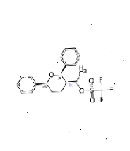 C/C(OS(=O)(=O)C(F)(F)F)=C1/CC[C@@H](c2ccccc2)O[C@H]1c1ccccc1